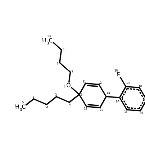 CCCCCC1(OCCCC)C=CC(c2ccccc2F)C=C1